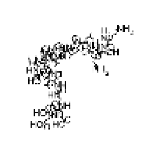 CC(C)C[C@H](NC(=O)[C@H](CO)NC(=O)[C@@H](NC(=O)[C@@H](NC(=O)[C@@H](NC(=O)[C@@H]1CCCN1C(=O)[C@@H](NC(=O)[C@@H]1CCCN1C(=O)[C@H](CC(C)C)NC(=O)[C@H](CCCCN)NC(=O)[C@H](CO)NC(=O)[C@@H](N)CCCCN)C(C)C)C(C)C)[C@@H](C)O)C(C)C)C(=O)N1CCC[C@H]1C(=O)NCC(=O)NCC(=O)N[C@@H](CCC(=O)O)C(=O)N[C@@H](CCC(=O)O)C(=O)O